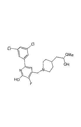 COC(O)CC1CCN(Cc2cc(-c3cc(Cl)cc(Cl)c3)nc(O)c2F)CC1